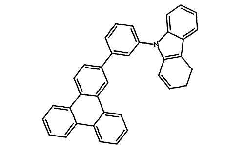 C1=Cc2c(c3ccccc3n2-c2cccc(-c3ccc4c5ccccc5c5ccccc5c4c3)c2)CC1